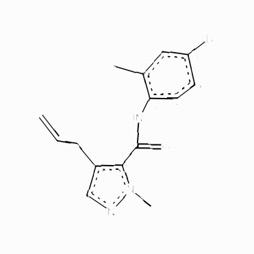 C=CCc1cnn(C)c1C(=O)Nc1ccc(Br)cc1C